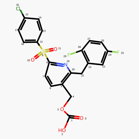 O=C(O)OCc1ccc(S(=O)(=O)c2ccc(Cl)cc2)nc1Cc1cc(F)ccc1F